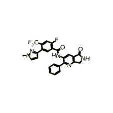 Cn1ccc(-c2cc(C(=O)Nc3cc4c(nc3-c3ccccc3)CNC4=O)c(F)cc2C(F)(F)F)n1